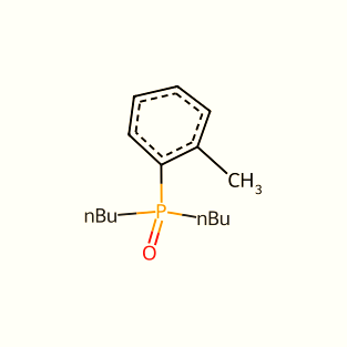 CCCCP(=O)(CCCC)c1ccccc1C